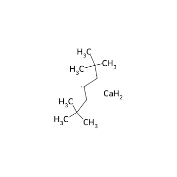 CC(C)(C)C[CH]CC(C)(C)C.[CaH2]